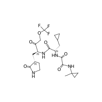 CC1(NC(=O)C(=O)N[C@@H](CC2CC2)C(=O)N[C@@H](C[C@@H]2CCNC2=O)C(=O)COC(F)(F)F)CC1